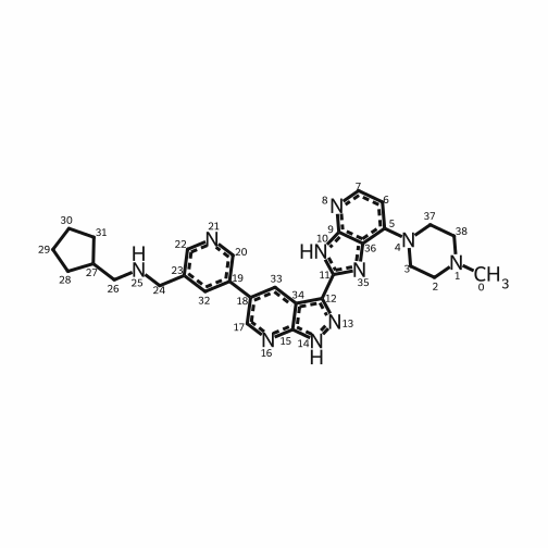 CN1CCN(c2ccnc3[nH]c(-c4n[nH]c5ncc(-c6cncc(CNCC7CCCC7)c6)cc45)nc23)CC1